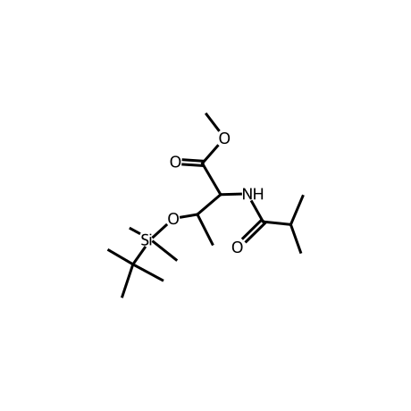 COC(=O)C(NC(=O)C(C)C)C(C)O[Si](C)(C)C(C)(C)C